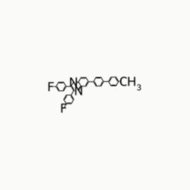 Cc1ccc(-c2ccc(-c3ccc4nc(-c5ccc(F)cc5)c(-c5ccc(F)cc5)nc4c3)cc2)cc1